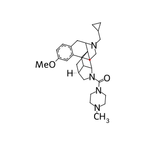 COc1ccc2c(c1)C13CCN(CC4CC4)C(C2)C12CCC1C3[C@@H](CN1C(=O)N1CCN(C)CC1)C2